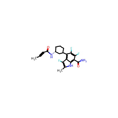 CC#CC(=O)N[C@@H]1CCCC(c2c(F)c(F)c(C(N)=O)c3[nH]c(C)c(F)c23)C1